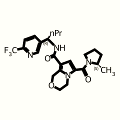 CCC[C@@H](NC(=O)c1cc(C(=O)N2CCC[C@@H]2C)n2c1COCC2)c1ccc(C(F)(F)F)nc1